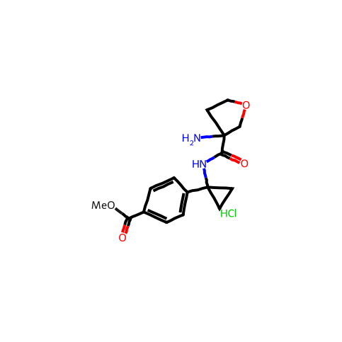 COC(=O)c1ccc(C2(NC(=O)C3(N)CCOC3)CC2)cc1.Cl